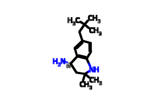 CC(C)(C)Cc1ccc2c(c1)[C@@H](N)CC(C)(C)N2